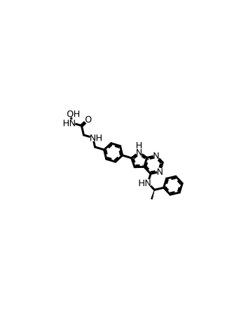 C[C@@H](Nc1ncnc2[nH]c(-c3ccc(CNCC(=O)NO)cc3)cc12)c1ccccc1